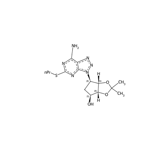 CCCSc1nc(N)c2nnn([C@@H]3C[C@H](O)[C@H]4OC(C)(C)O[C@H]43)c2n1